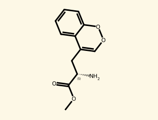 COC(=O)[C@@H](N)CC1=COOc2ccccc21